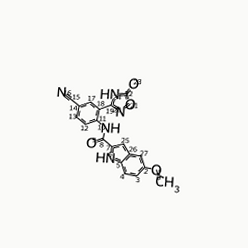 COc1ccc2[nH]c(C(=O)Nc3ccc(C#N)cc3-c3noc(=O)[nH]3)cc2c1